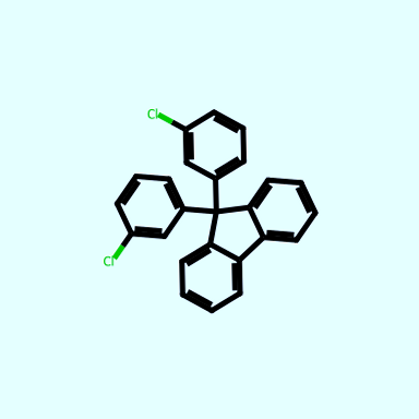 Clc1cccc(C2(c3cccc(Cl)c3)c3ccccc3-c3ccccc32)c1